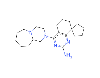 Nc1nc(N2CCN3CCCCCC3C2)c2c(n1)C1(CCCC1)CCC2